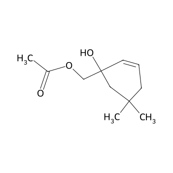 CC(=O)OCC1(O)C=CCC(C)(C)C1